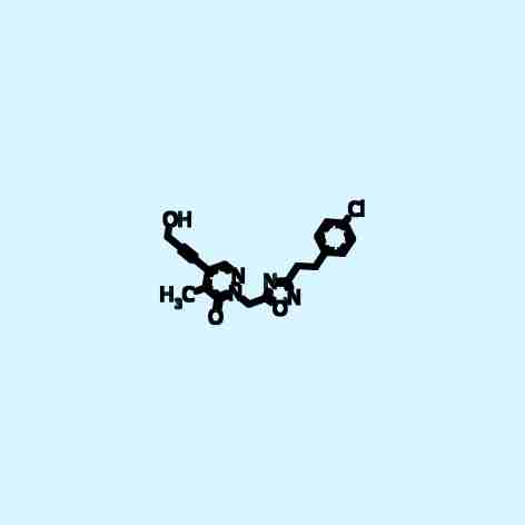 Cc1c(C#CCO)cnn(Cc2nc(CCc3ccc(Cl)cc3)no2)c1=O